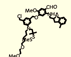 COCCOCCCCCN(CC(C)(C)SSC)c1cc(CCl)cc(COc2cc(NCC3Cc4c(C)cccc4N3C)c(C=O)cc2OC)c1